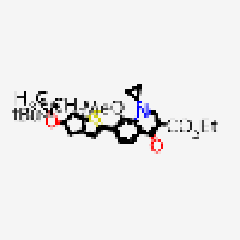 CCOC(=O)c1cn(C2CC2)c2c(OC)c(-c3cc4c(s3)CC(O[Si](C)(C)C(C)(C)C)C4)ccc2c1=O